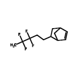 CC(F)(F)C(F)(F)CCC1CC2C=CC1C2